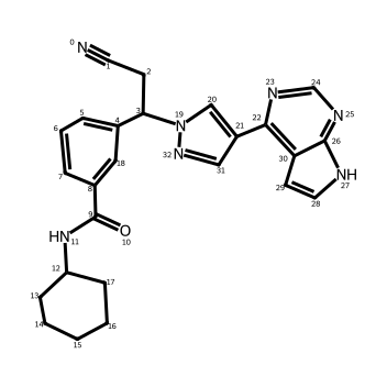 N#CCC(c1cccc(C(=O)NC2CCCCC2)c1)n1cc(-c2ncnc3[nH]ccc23)cn1